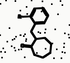 O=C1CCCCCC1Cc1ccccc1Br